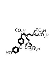 O=C(O)CN(CCN(CCN(CC(=O)O)CC(=O)O)[C@@H](Cc1ccc(Oc2ccc(O)cc2)cc1)C(=O)O)CC(=O)O